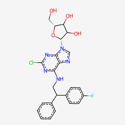 OC[C@H]1O[C@@H](n2cnc3c(NCC(c4ccccc4)c4ccc(F)cc4)nc(Cl)nc32)C(O)C1O